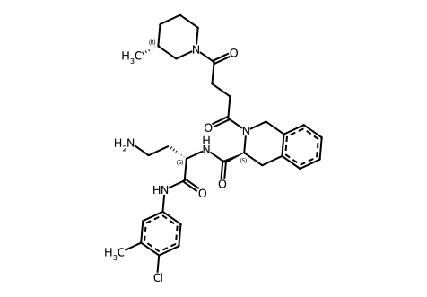 Cc1cc(NC(=O)[C@H](CCN)NC(=O)[C@@H]2Cc3ccccc3CN2C(=O)CCC(=O)N2CCC[C@@H](C)C2)ccc1Cl